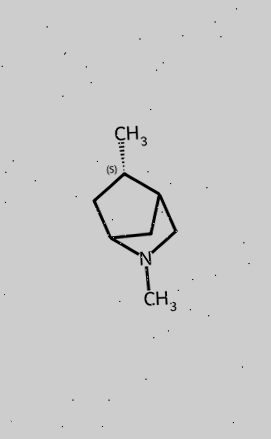 C[C@H]1CC2CC1CN2C